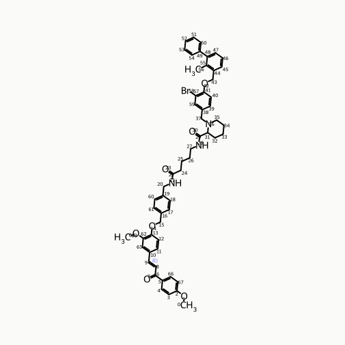 COc1ccc(C(=O)/C=C/c2ccc(OCc3ccc(CNC(=O)CCCCNC(=O)C4CCCCN4Cc4ccc(OCc5cccc(-c6ccccc6)c5C)c(Br)c4)cc3)c(OC)c2)cc1